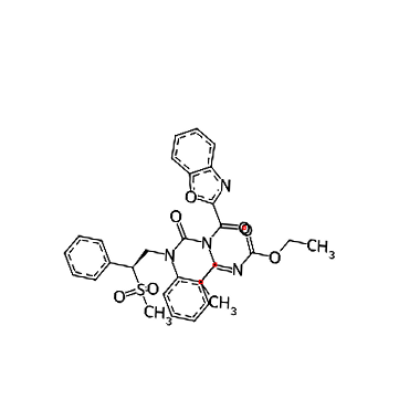 CCCN(C(=O)c1nc2ccccc2o1)C(=O)N(C[C@H](c1ccccc1)S(C)(=O)=O)c1ccccc1C=NC(=O)OCC